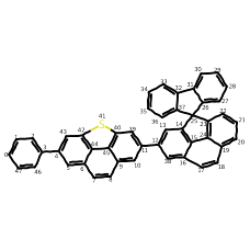 c1ccc(-c2cc3ccc4cc(-c5cc6c7c(ccc8cccc(c87)C67c6ccccc6-c6ccccc67)c5)cc5sc(c2)c3c45)cc1